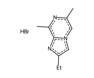 Br.CCc1cn2cc(C)nc(C)c2n1